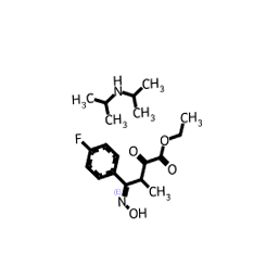 CC(C)NC(C)C.CCOC(=O)C(=O)C(C)/C(=N\O)c1ccc(F)cc1